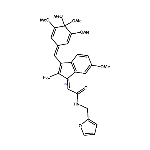 COC1=CC(=CC2=C(C)/C(=C/C(=O)NCc3ccco3)c3cc(OC)ccc32)C=C(OC)C1(OC)OC